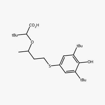 CC(CCSc1cc(C(C)(C)C)c(O)c(C(C)(C)C)c1)OC(C(=O)O)C(C)(C)C